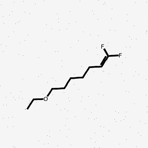 [CH2]COCCCCCC=C(F)F